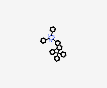 c1ccc(-c2nc(-c3ccccc3)nc(-c3ccc4ccc5c(c4c3)-c3ccccc3C5(c3ccccc3)c3ccccc3)n2)cc1